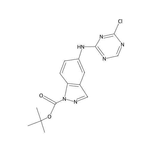 CC(C)(C)OC(=O)n1ncc2cc(Nc3ncnc(Cl)n3)ccc21